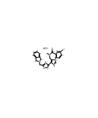 CN1Cc2c(-c3noc(CN4Cc5ccccc5C4)n3)ncn2-c2ccc(F)cc2C1=O.Cl